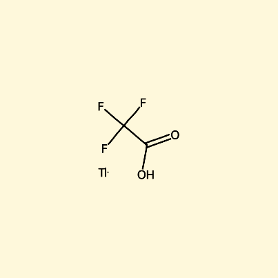 O=C(O)C(F)(F)F.[Tl]